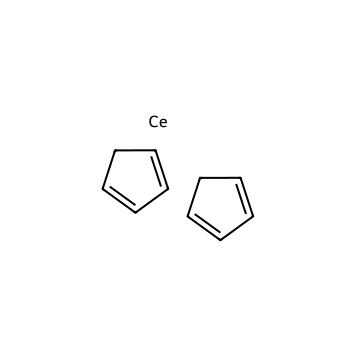 C1=CCC=C1.C1=CCC=C1.[Ce]